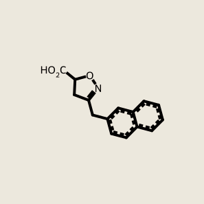 O=C(O)C1CC(Cc2ccc3ccccc3c2)=NO1